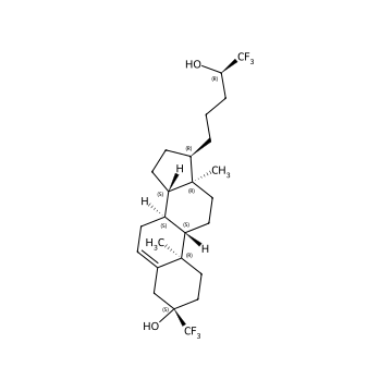 C[C@]12CC[C@H]3[C@@H](CC=C4C[C@](O)(C(F)(F)F)CC[C@@]43C)[C@@H]1CC[C@H]2CCC[C@@H](O)C(F)(F)F